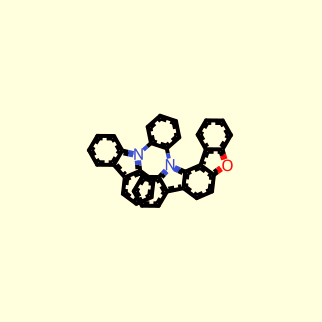 c1ccc(-n2c3ccccc3c3ccc4oc5ccccc5c4c32)c(-n2c3ccccc3c3ccccc32)c1